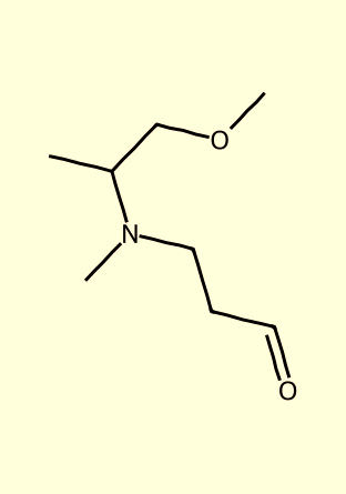 COCC(C)N(C)CCC=O